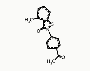 CC(=O)c1ccc(-n2sc3cccc(C)c3c2=O)cc1